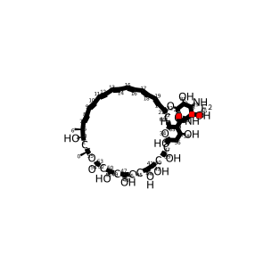 C[C@H]1C[C@H](O)[C@@H](C)/C=C/C=C/C=C/C=C/C=C/C=C/C=C/C(O[C@@H]2OC[C@@H](O)[C@H](N)[C@H]2O)C[C@@H]2OC(O)(CC(O)CC(O)C(O)CCC(O)C[C@@H](O)CC(=O)O1)C[C@H](O)C2C(=O)NCCF